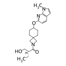 CC[C@H](CO)C(=O)N1CC2(CCC(Oc3ccc4ccn(C)c4n3)CC2)C1